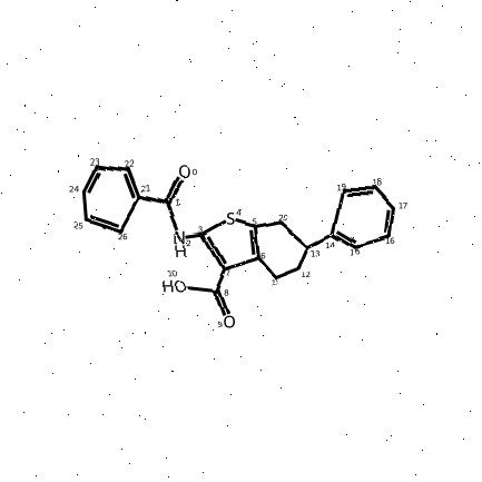 O=C(Nc1sc2c(c1C(=O)O)CCC(c1ccccc1)C2)c1ccccc1